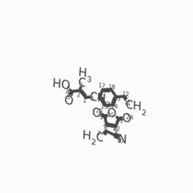 C/C=C(\C)C(=O)O.C=CC#N.C=Cc1ccccc1.O=C1C=CC(=O)O1